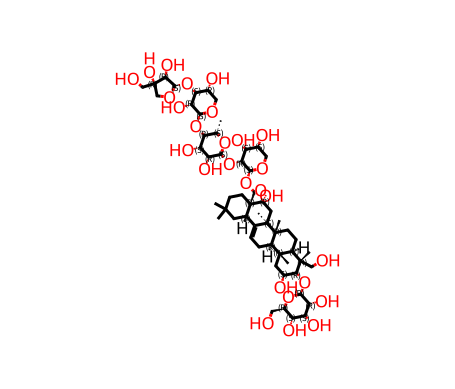 C[C@@H]1O[C@@H](O[C@H]2[C@H](OC(=O)[C@]34CCC(C)(C)C[C@H]3C3=CC[C@@H]5[C@@]6(C)C[C@H](O)[C@H](O[C@@H]7O[C@H](CO)[C@@H](O)[C@H](O)[C@H]7O)[C@@](C)(CO)[C@@H]6CC[C@@]5(C)[C@]3(C)C[C@H]4O)OC[C@H](O)[C@@H]2O)[C@H](O)[C@H](O)[C@H]1O[C@@H]1OC[C@@H](O)[C@H](O[C@@H]2OC[C@](O)(CO)[C@H]2O)[C@H]1O